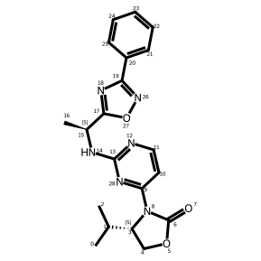 CC(C)[C@H]1COC(=O)N1c1ccnc(N[C@@H](C)c2nc(-c3ccccc3)no2)n1